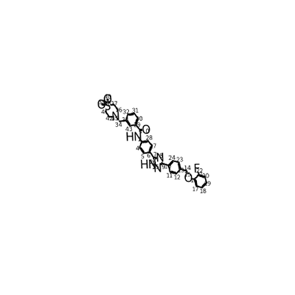 O=C(Nc1ccc(-c2nc(-c3ccc(COc4ccccc4F)cc3)n[nH]2)cc1)c1cccc(CN2CCS(=O)(=O)CC2)c1